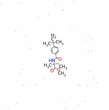 CCC(C)(NC(=O)c1ccc(C(C)(C)C)cc1)C(=O)OC